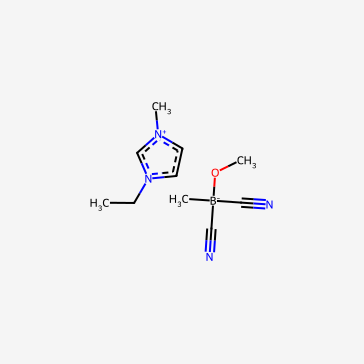 CCn1cc[n+](C)c1.CO[B-](C)(C#N)C#N